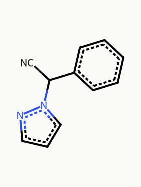 N#CC(c1ccccc1)n1cccn1